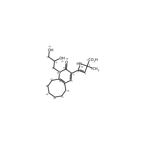 CC1(C(=O)O)C=C(c2cc3c(n(CC(O)CO)c2=O)CCCCCC3)N1